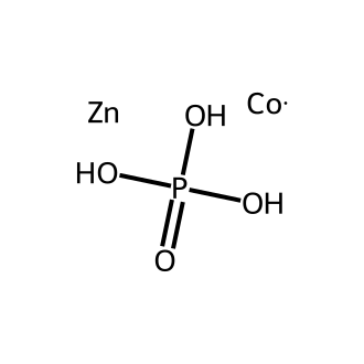 O=P(O)(O)O.[Co].[Zn]